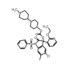 CCOc1ncccc1C1(OC(=O)ON2CCN(C3CCN(C)CC3)CC2)C(=O)N(S(=O)(=O)c2ccccc2)c2cc(F)c(Cl)cc21